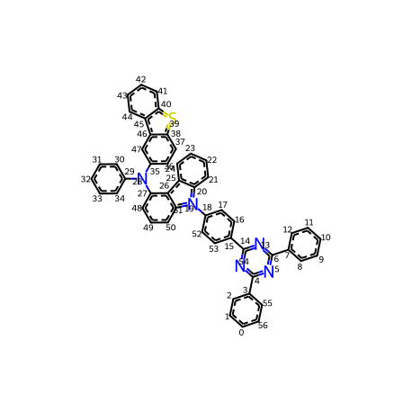 c1ccc(-c2nc(-c3ccccc3)nc(-c3ccc(-n4c5ccccc5c5c(N(c6ccccc6)c6ccc7sc8ccccc8c7c6)cccc54)cc3)n2)cc1